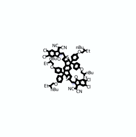 CCCCC(CC)COc1ccc(C2(c3ccc(OCC(CC)CCCC)cc3)c3cc4c(cc3-c3cc(/C=C5\C(=O)c6cc(Cl)c(Cl)cc6C5=C(C#N)C#N)sc32)C(c2ccc(OCC(CC)CCCC)cc2)(c2ccc(OCC(CC)CCCC)cc2)c2sc(/C=C3\C(=O)c5cc(Cl)c(Cl)cc5C3=C(C#N)C#N)cc2-4)cc1